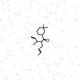 C=CC(C)C(CC=CC)C(=O)C1CCCC(C)(C)C1